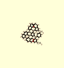 Cc1cccc(N(c2cccc(C)c2)c2cc3c4c(c2)N(c2cccc5ccccc25)c2c(ccc5ccccc25)B4c2ccc4ccccc4c2N3c2cccc3ccccc23)c1